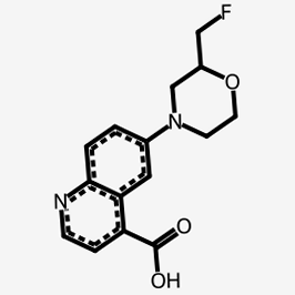 O=C(O)c1ccnc2ccc(N3CCOC(CF)C3)cc12